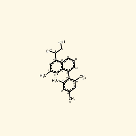 CCC(CO)c1cc(C)nc2c(-c3c(C)cc(C)cc3C)cccc12